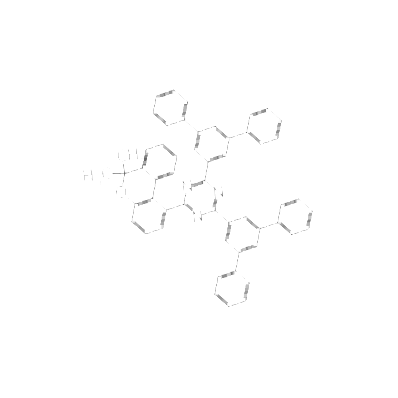 CC1(C)Oc2cccc(-c3nc(-c4cc(-c5ccccc5)cc(-c5ccccc5)c4)nc(-c4cc(-c5ccccc5)cc(-c5ccccc5)c4)n3)c2-c2ccccc21